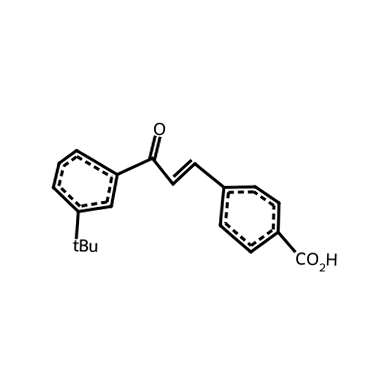 CC(C)(C)c1cccc(C(=O)/C=C/c2ccc(C(=O)O)cc2)c1